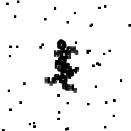 CCC(Nc1cc(F)c(S(=O)(=O)N(Cc2ccc(OC)cc2OC)c2ncc(F)s2)cc1Cl)c1ccccc1